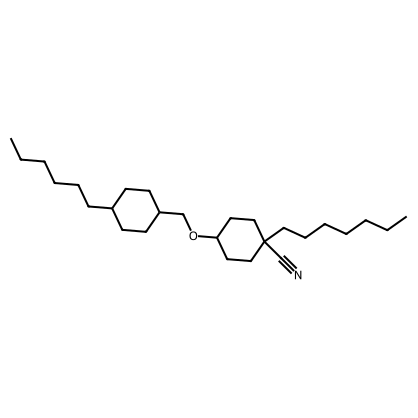 CCCCCCCC1(C#N)CCC(OCC2CCC(CCCCCC)CC2)CC1